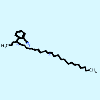 CCCCCCCCCCCC/C=C/CCCCCCC/C=C(/CCC)c1ccccc1C#N